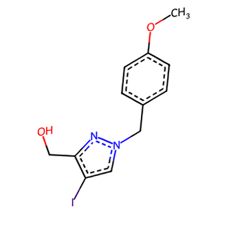 COc1ccc(Cn2cc(I)c(CO)n2)cc1